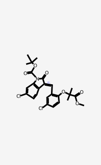 COC(=O)C(C)(C)Oc1ccc(Cl)cc1/C=C1/C(=O)N(C(=O)OC(C)(C)C)c2cc(Cl)ccc21